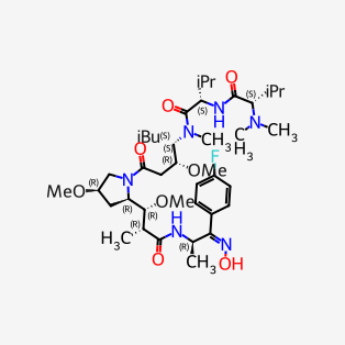 CC[C@H](C)[C@@H]([C@@H](CC(=O)N1C[C@H](OC)C[C@@H]1[C@H](OC)[C@@H](C)C(=O)N[C@H](C)C(=NO)c1ccc(F)cc1)OC)N(C)C(=O)[C@@H](NC(=O)[C@H](C(C)C)N(C)C)C(C)C